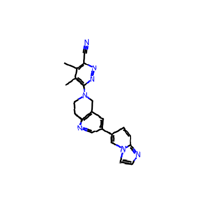 Cc1c(C#N)nnc(N2CCc3ncc(-c4ccc5nccn5c4)cc3C2)c1C